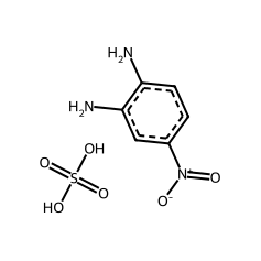 Nc1ccc([N+](=O)[O-])cc1N.O=S(=O)(O)O